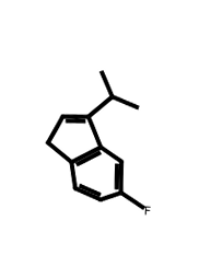 CC(C)C1=CCc2ccc(F)cc21